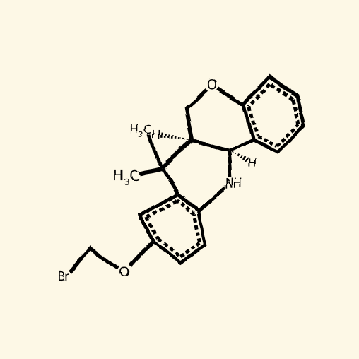 CC1(C)c2cc(OCBr)ccc2N[C@@H]2c3ccccc3OC[C@@H]21